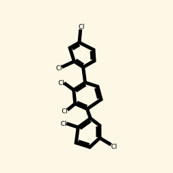 Clc1[c]cc(Cl)c(-c2ccc(-c3ccc(Cl)cc3Cl)c(Cl)c2Cl)c1